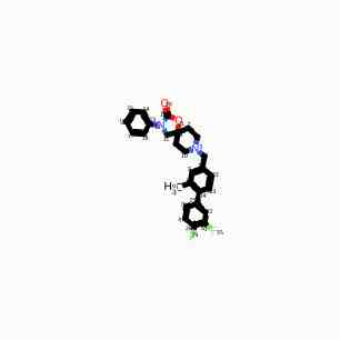 Cc1cc(CN2CCC3(CC2)CN(c2ccccc2)C(=O)O3)ccc1-c1ccc(F)c(F)c1